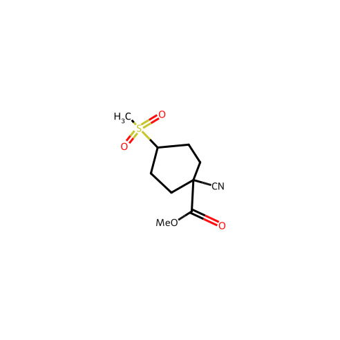 COC(=O)C1(C#N)CCC(S(C)(=O)=O)CC1